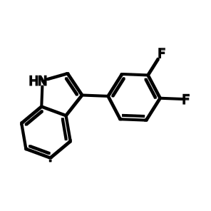 Fc1ccc(-c2c[nH]c3cc[c]cc23)cc1F